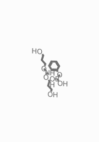 OB(O)Oc1ccccc1.OCCCONOCCCO